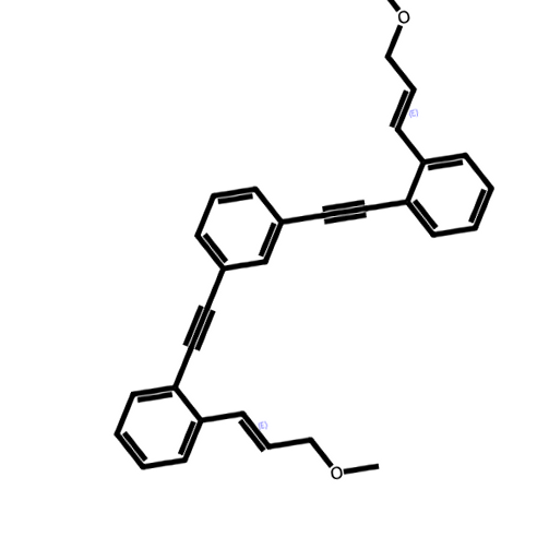 COC/C=C/c1ccccc1C#Cc1cccc(C#Cc2ccccc2/C=C/COC)c1